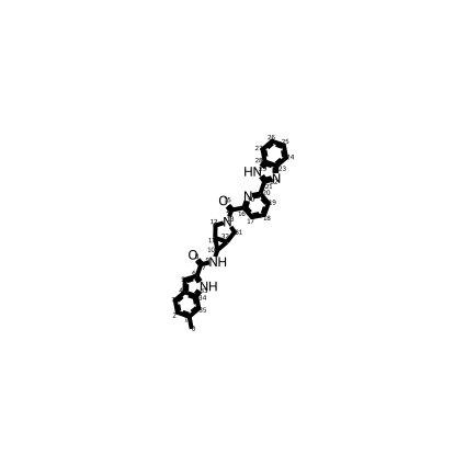 Cc1ccc2cc(C(=O)NC3C4CN(C(=O)c5cccc(-c6nc7ccccc7[nH]6)n5)CC43)[nH]c2c1